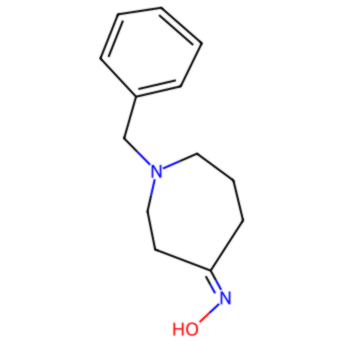 ON=C1CCCN(Cc2ccccc2)CC1